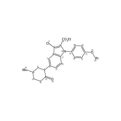 CCOC(=O)c1c(Cl)c2cc(C3CC(C(C)(C)C)CCC3=O)ccc2n1-c1ccc(OC(C)C)cc1